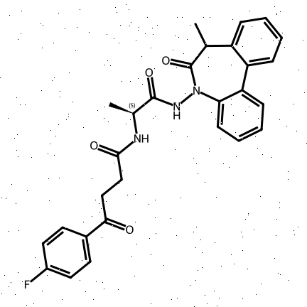 CC1C(=O)N(NC(=O)[C@H](C)NC(=O)CCC(=O)c2ccc(F)cc2)c2ccccc2-c2ccccc21